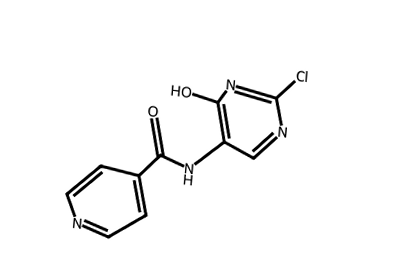 O=C(Nc1cnc(Cl)nc1O)c1ccncc1